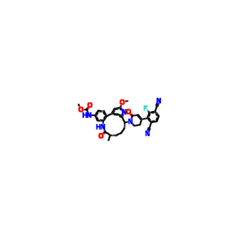 COC(=O)Nc1ccc2c(c1)NC(=O)C(C)CCCC(N1CCC(c3c(C#N)ccc(C#N)c3F)=CC1=O)c1cc-2cc(OC)n1